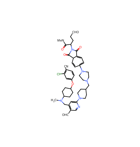 CNC(=O)C(CCC=O)N1C(=O)C2=CC=C(N3CCN(CC4CCN(c5cc(CN(C)C6CCC(Oc7ccc(C#N)c(Cl)c7)CC6)c(C=O)cn5)CC4)CC3)C=CC2C1=O